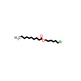 CCCCCCCCCC(=O)OCCCCCCBr